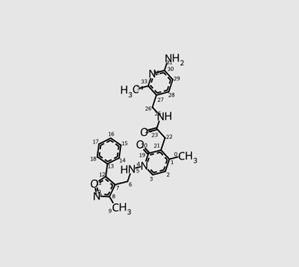 Cc1ccn(NCc2c(C)noc2-c2ccccc2)c(=O)c1CC(=O)NCc1ccc(N)nc1C